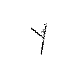 CCCCCCCCCCCSCC(COCC(O)CNCCCN(C)C)SCCCCCCCCCCC